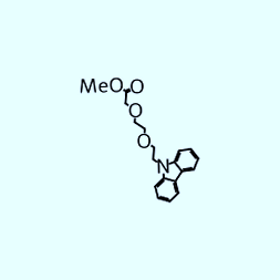 COC(=O)COCCOCCn1c2ccccc2c2ccccc21